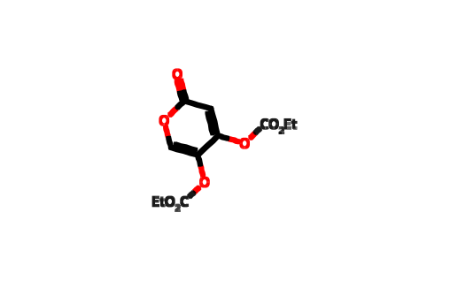 CCOC(=O)Oc1coc(=O)cc1OC(=O)OCC